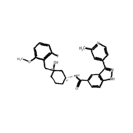 COc1cccc(F)c1C[C@@]1(O)CCC[C@@H](NC(=O)c2ccc3[nH]nc(-c4ccnc(C)c4)c3c2)C1